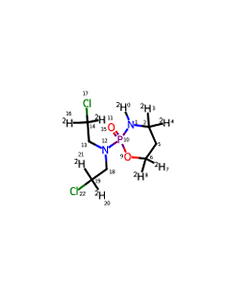 [2H]N1C([2H])([2H])CC([2H])([2H])OP1(=O)N(CC([2H])([2H])Cl)CC([2H])([2H])Cl